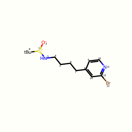 CC(C)(C)[S+]([O-])NCCCCc1ccnc(Br)c1